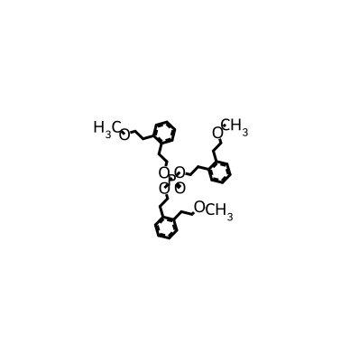 COCCc1ccccc1CCOP(=O)(OCCc1ccccc1CCOC)OCCc1ccccc1CCOC